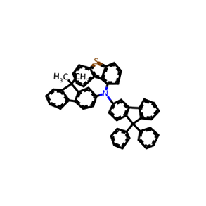 CC1(C)c2ccccc2-c2ccc(N(c3ccc4c(c3)-c3ccccc3C4(c3ccccc3)c3ccccc3)c3cccc4sc5ccccc5c34)cc21